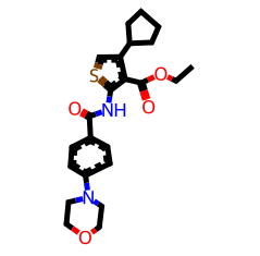 CCOC(=O)c1c(C2CCCC2)csc1NC(=O)c1ccc(N2CCOCC2)cc1